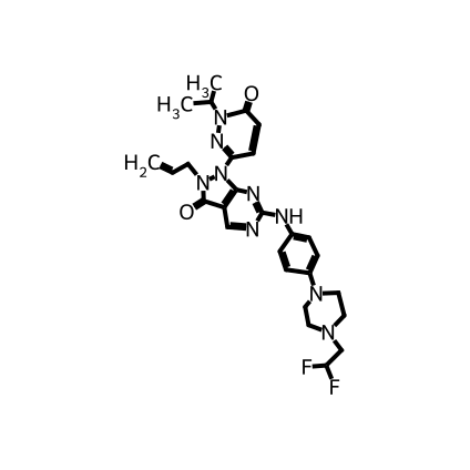 C=CCn1c(=O)c2cnc(Nc3ccc(N4CCN(CC(F)F)CC4)cc3)nc2n1-c1ccc(=O)n(C(C)C)n1